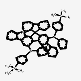 C[Si](C)(C)c1ccc(N(c2ccccc2)c2cc3c(oc4ccccc43)c3c2-c2c(cc(N(c4ccccc4)c4ccc([Si](C)(C)C)cc4)c4c2sc2ccccc24)C32c3ccccc3-c3ccccc32)cc1